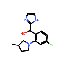 C[C@@H]1CCN(c2cc(F)ccc2C(O)c2ncc[nH]2)C1